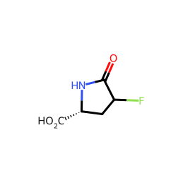 O=C1N[C@@H](C(=O)O)CC1F